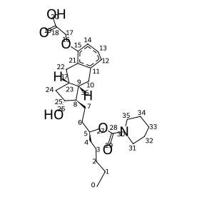 CCCCC[C@@H](CC[C@@H]1[C@H]2Cc3cccc(OCC(=O)O)c3C[C@H]2C[C@H]1O)OC(=O)N1CCCCC1